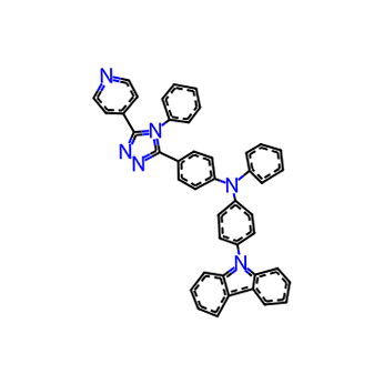 c1ccc(N(c2ccc(-c3nnc(-c4ccncc4)n3-c3ccccc3)cc2)c2ccc(-n3c4ccccc4c4ccccc43)cc2)cc1